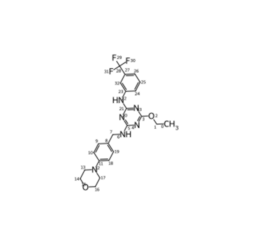 CCOc1nc(NCc2ccc(N3CCOCC3)cc2)nc(Nc2cccc(C(F)(F)F)c2)n1